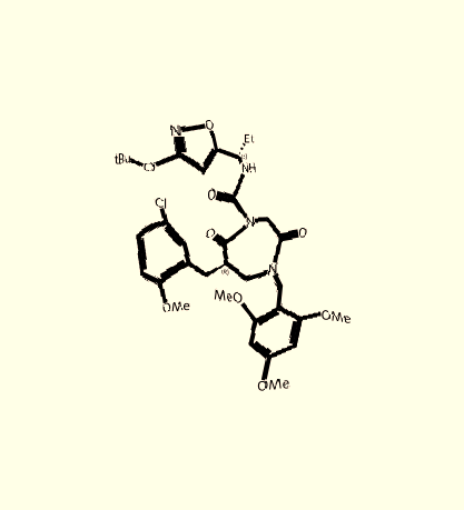 CC[C@H](NC(=O)N1CC(=O)N(Cc2c(OC)cc(OC)cc2OC)C[C@@H](Cc2cc(Cl)ccc2OC)C1=O)c1cc(OC(C)(C)C)no1